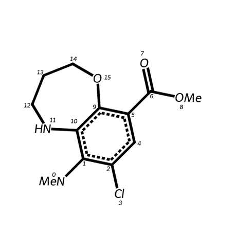 CNc1c(Cl)cc(C(=O)OC)c2c1NCCCO2